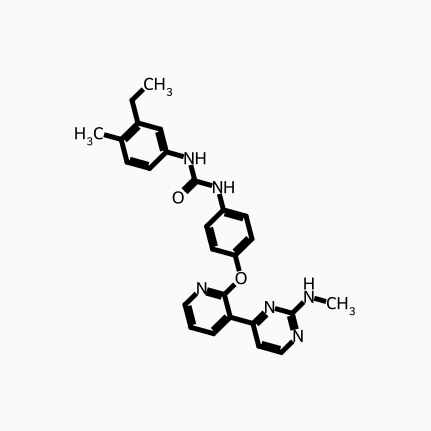 CCc1cc(NC(=O)Nc2ccc(Oc3ncccc3-c3ccnc(NC)n3)cc2)ccc1C